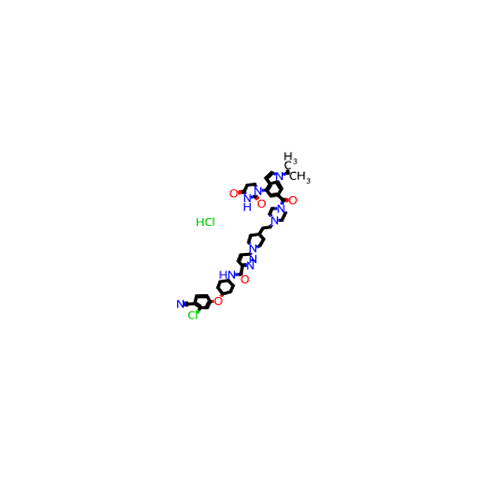 CC(C)n1ccc2c(N3CCC(=O)NC3=O)cc(C(=O)N3CCN(CCC4CCN(c5ccc(C(=O)NC6CCC(Oc7ccc(C#N)c(Cl)c7)CC6)nn5)CC4)CC3)cc21.Cl